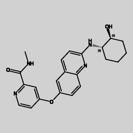 CNC(=O)c1cc(Oc2ccc3nc(N[C@H]4CCCC[C@@H]4O)ccc3c2)ccn1